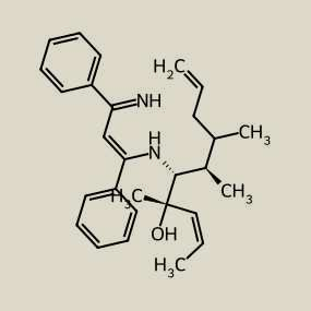 C=CCC(C)[C@@H](C)[C@@H](N/C(=C\C(=N)c1ccccc1)c1ccccc1)[C@@](C)(O)/C=C\C